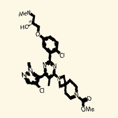 CNC[C@@H](O)COc1ccc(Cl)c(-c2nc(-c3c(Cl)cnn3C)c(C)c(N3CC4(CCN(C(=O)OC)CC4)C3)n2)c1